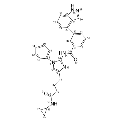 O=C(CCCc1cn(-c2ccccc2)c(NC(=O)c2cccc(-c3cccc4[nH]ncc34)c2)n1)NC1CC1